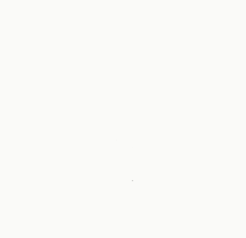 CC([C]=O)OC1CCC(CCCC2C[CH]CC2)C1